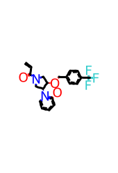 C=CC(=O)N1C[C@@H](n2ccccc2=O)[C@H](OCc2ccc(C(F)(F)F)cc2)C1